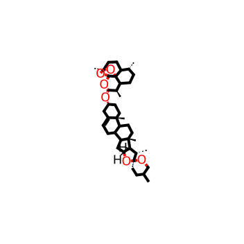 CC1CC[C@]2(OC1)O[C@H]1CC3C4CC=C5C[C@@H](OC6OC7O[C@@]8(C)CCC9[C@H](C)CCC([C@H]6C)C79O8)CC[C@]5(C)C4CC[C@]3(C)[C@H]1[C@@H]2C